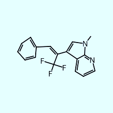 Cn1cc(C(=Cc2ccccc2)C(F)(F)F)c2cccnc21